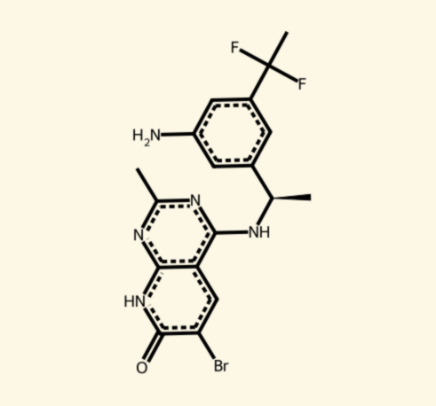 Cc1nc(N[C@H](C)c2cc(N)cc(C(C)(F)F)c2)c2cc(Br)c(=O)[nH]c2n1